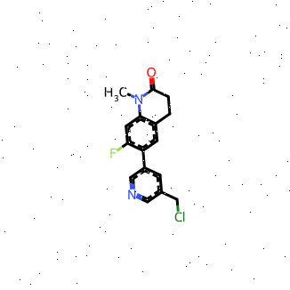 CN1C(=O)CCc2cc(-c3cncc(CCl)c3)c(F)cc21